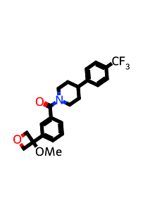 COC1(c2cccc(C(=O)N3CCC(c4ccc(C(F)(F)F)cc4)CC3)c2)COC1